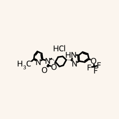 Cc1cccc(N2C[C@]3(CC[C@@H](c4nc5cc(OC(F)(F)F)ccc5[nH]4)CC3)OC2=O)n1.Cl